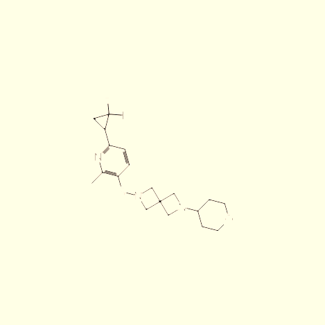 Cc1nc(C2CC2(F)F)ccc1SN1CC2(C1)CN(C1CCOCC1)C2